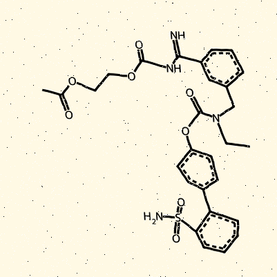 CCN(Cc1cccc(C(=N)NC(=O)OCCOC(C)=O)c1)C(=O)Oc1ccc(-c2ccccc2S(N)(=O)=O)cc1